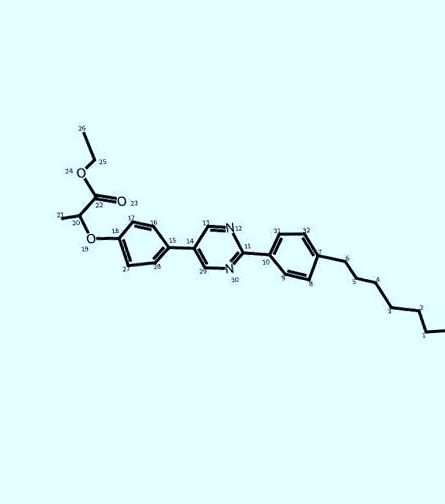 CCCCCCCc1ccc(-c2ncc(-c3ccc(OC(C)C(=O)OCC)cc3)cn2)cc1